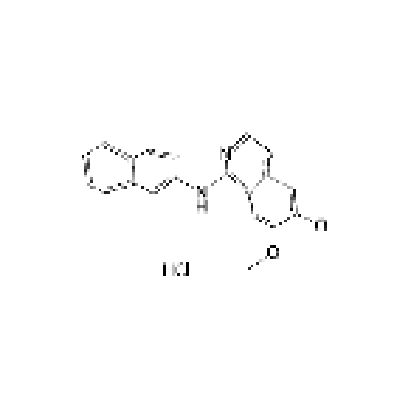 COc1cc2ncnc(Nc3ccc4ccccc4c3)c2cc1OC.Cl